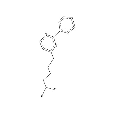 FC(F)CCCCc1ccnc(-c2ccccc2)n1